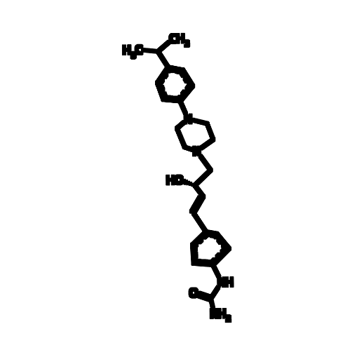 CC(C)c1ccc(N2CCN(C[C@@H](O)C=Cc3ccc(NC(N)=O)cc3)CC2)cc1